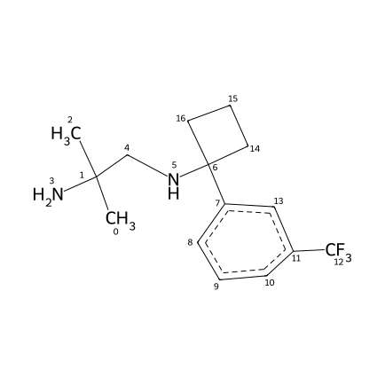 CC(C)(N)CNC1(c2cccc(C(F)(F)F)c2)CCC1